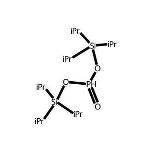 CC(C)[Si](O[PH](=O)O[Si](C(C)C)(C(C)C)C(C)C)(C(C)C)C(C)C